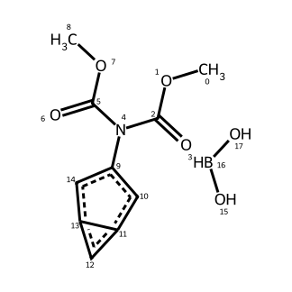 COC(=O)N(C(=O)OC)c1cc2cc-2c1.OBO